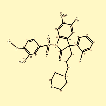 CCOc1ccc(S(=O)(=O)N2C(=O)C(CCCN3CCOCC3)(c3ccccc3F)c3cc(Cl)c(OC)cc32)cc1OC